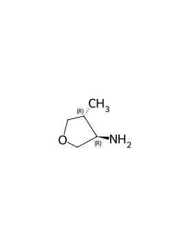 C[C@H]1COC[C@@H]1N